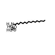 CCCCCCCCCCCCCCCC(N)OP(=O)(O)O